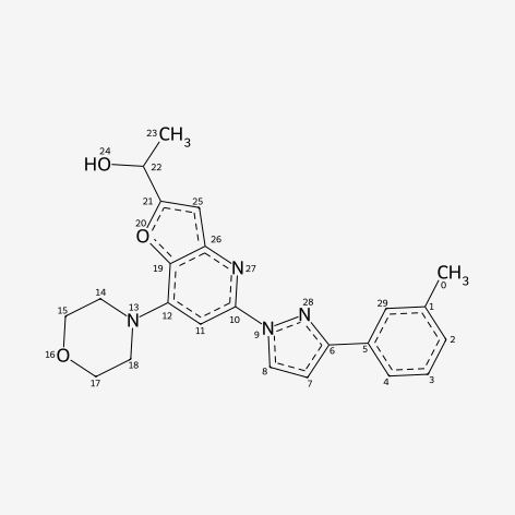 Cc1cccc(-c2ccn(-c3cc(N4CCOCC4)c4oc(C(C)O)cc4n3)n2)c1